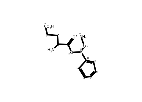 NOB(OC(=O)C(N)CCC(=O)O)c1ccccc1